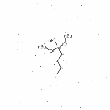 CCCCO[Si](CCC)(CCCI)OCCCC